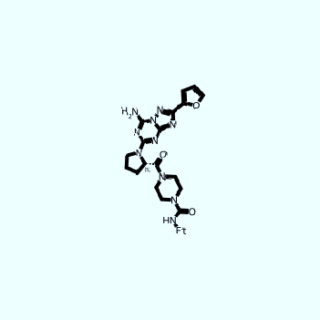 CCNC(=O)N1CCN(C(=O)[C@@H]2CCCN2c2nc(N)n3nc(-c4ccco4)nc3n2)CC1